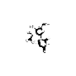 CCSC(=O)C(F)(F)F.O=c1ccn([C@H]2C[C@H](O)[C@@H](CO)O2)c(=O)[nH]1